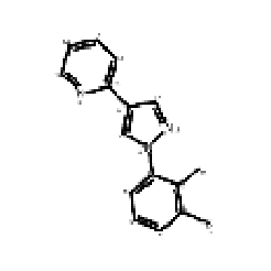 Cc1c(Br)cccc1-n1cc(-c2ccccn2)cn1